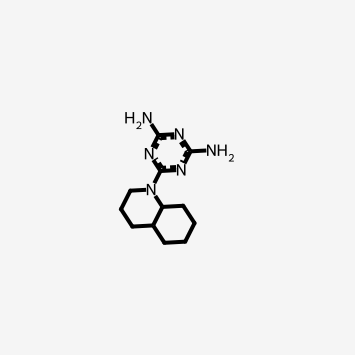 Nc1nc(N)nc(N2CCCC3CCCCC32)n1